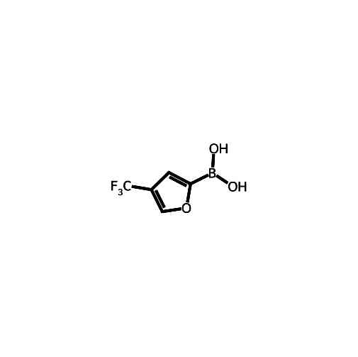 OB(O)c1cc(C(F)(F)F)co1